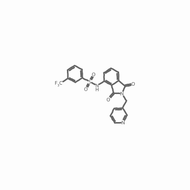 O=C1c2cccc(NS(=O)(=O)c3cccc(C(F)(F)F)c3)c2C(=O)N1Cc1cccnc1